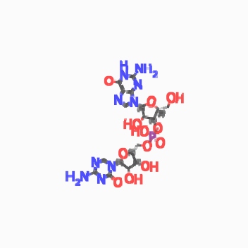 Nc1ncn([C@@H]2O[C@H](COP(=O)(O)O[C@@H]3C(O)[C@H](n4cnc5c(=O)[nH]c(N)nc54)O[C@@H]3CO)[C@H](O)C2O)c(=O)n1